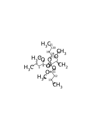 C=C[Si](OC(CCC)OC)(OC(CCC)OC)OC(CCC)OC